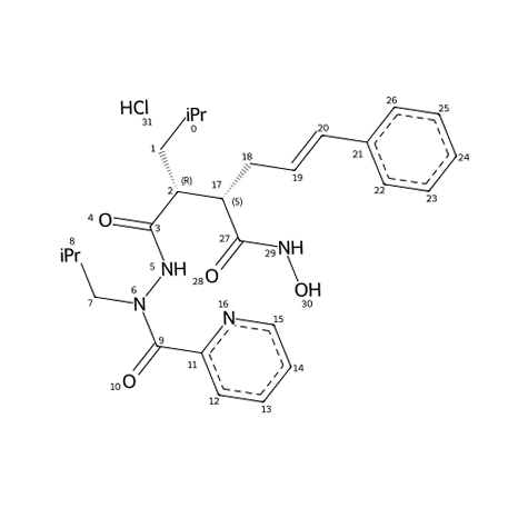 CC(C)C[C@@H](C(=O)NN(CC(C)C)C(=O)c1ccccn1)[C@H](CC=Cc1ccccc1)C(=O)NO.Cl